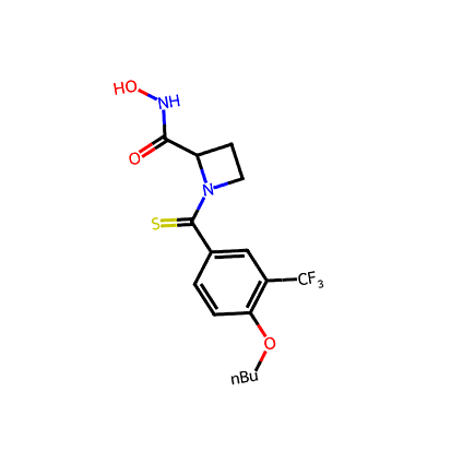 CCCCOc1ccc(C(=S)N2CCC2C(=O)NO)cc1C(F)(F)F